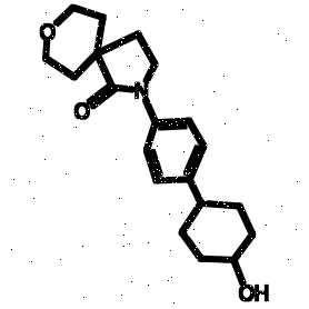 O=C1N(c2ccc(C3CCC(O)CC3)cc2)CCC12CCOCC2